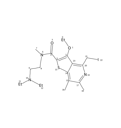 CCOc1c(C(=O)N(C)CCN(CC)CC)sc2c(C)c(C)nc(CI)c12